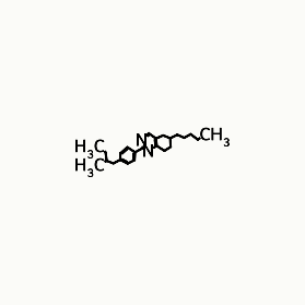 CCCCCC1CCc2nc(-c3ccc(CC(C)CC)cc3)ncc2C1